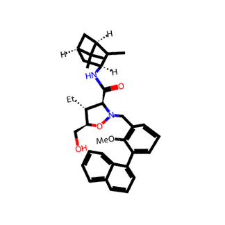 CC[C@H]1[C@H](CO)ON(Cc2cccc(-c3cccc4ccccc34)c2OC)[C@@H]1C(=O)N[C@H]1C[C@H]2C[C@@H](C1C)C2(C)C